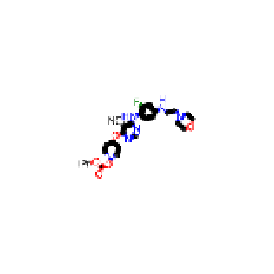 CC(C)OC(=O)ON1CCC(Oc2ncnc(Nc3ccc(NCCN4CCOCC4)cc3F)c2C#N)CC1